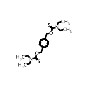 CCN(CC)C(=S)OCc1ccc(COC(=S)N(CC)CC)cc1